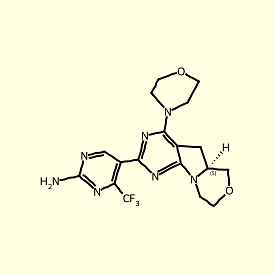 Nc1ncc(-c2nc(N3CCOCC3)c3c(n2)N2CCOC[C@@H]2C3)c(C(F)(F)F)n1